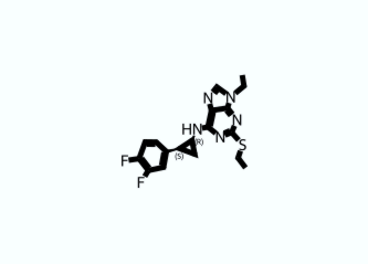 CCSc1nc(N[C@@H]2C[C@H]2c2ccc(F)c(F)c2)c2ncn(CC)c2n1